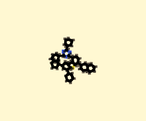 c1ccc(-c2cc(-c3ccccc3)c3sc4c(-c5ccc6ccccc6c5)ccc(-c5nc(-c6ccccc6)nc(-c6ccccc6)n5)c4c3c2)cc1